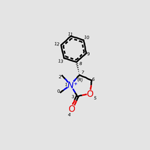 C[N+]1(C)C(=O)OC[C@H]1c1ccccc1